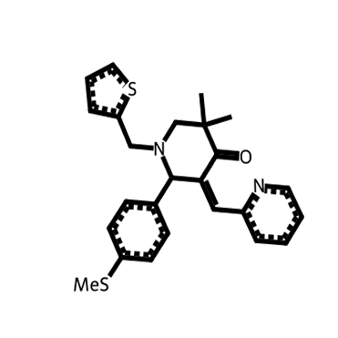 CSc1ccc(C2C(=Cc3ccccn3)C(=O)C(C)(C)CN2Cc2cccs2)cc1